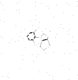 Brc1cccc(Br)c1N1CSC2=C1CCCC2